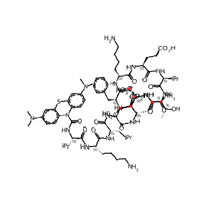 CC(C)C[C@H](NC(=O)[C@H](CCCCN)NC(=O)[C@@H](NC(=O)N1c2ccc(N(C)C)cc2Sc2cc(N(C)C)ccc21)C(C)C)C(=O)N[C@@H](CCC(=O)O)C(=O)N[C@@H](CCC(N)=O)C(=O)N[C@@H](Cc1ccccc1)C(=O)N[C@@H](CCCCN)C(=O)N[C@@H](CCC(=O)O)C(=O)N[C@H](C(=O)N[C@H](C(=O)N[C@@H](CCC(=O)O)C(=O)O)[C@@H](C)O)C(C)C